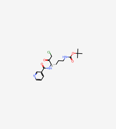 CC(C)(C)OC(=O)NCCC[C@H](NC(=O)c1cccnc1)C(=O)CCl